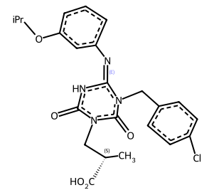 CC(C)Oc1cccc(/N=c2\[nH]c(=O)n(C[C@H](C)C(=O)O)c(=O)n2Cc2ccc(Cl)cc2)c1